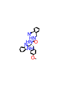 COc1ccc(C[C@@H](NC(=O)NCc2ccccc2C#N)c2nc3ccccc3[nH]2)cc1